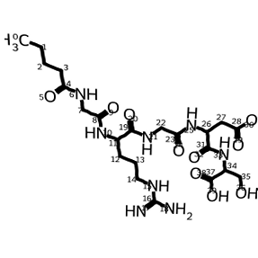 CCCCC(=O)NCC(=O)NC(CCCNC(=N)N)C(=O)NCC(=O)NC(CC(=O)O)C(=O)NC(CO)C(=O)O